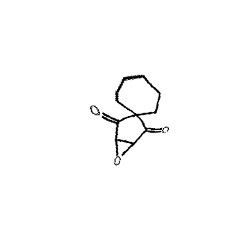 O=C1C2OC2C(=O)C12CCCCC2